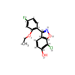 CCOc1cc(F)ccc1-c1noc2c(Cl)c(O)ccc12